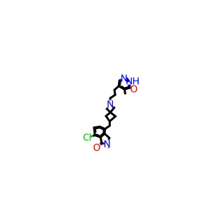 Cc1c(CCCN2CC3(CC(Cc4ccc(Cl)c5c4CN(C)C5=O)C3)C2)cn[nH]c1=O